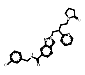 O=C(NCc1cccc(Cl)c1)c1ccc2cn(CC(CCN3CCCC3=O)c3ccccn3)nc2c1